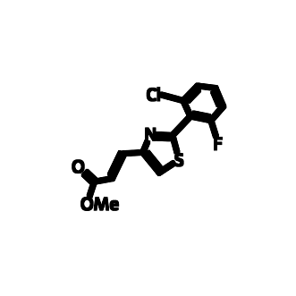 COC(=O)/C=C/c1csc(-c2c(F)cccc2Cl)n1